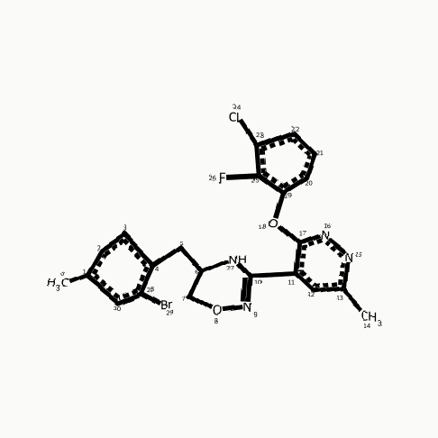 Cc1ccc(CC2CON=C(c3cc(C)nnc3Oc3cccc(Cl)c3F)N2)c(Br)c1